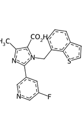 Cc1nc(-c2cncc(F)c2)n(Cc2cccc3ccsc23)c1C(=O)O